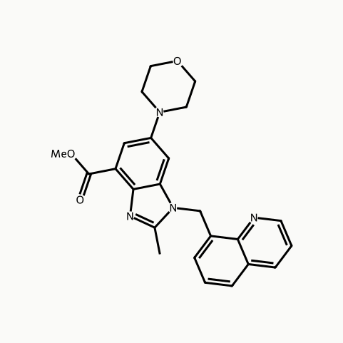 COC(=O)c1cc(N2CCOCC2)cc2c1nc(C)n2Cc1cccc2cccnc12